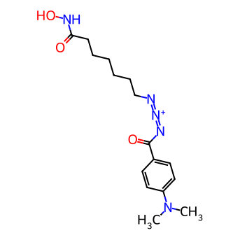 CN(C)c1ccc(C(=O)N=[N+]=NCCCCCCC(=O)NO)cc1